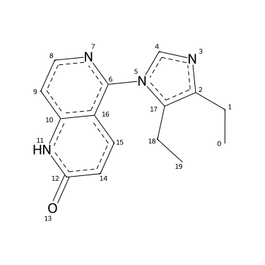 CCc1ncn(-c2nccc3[nH]c(=O)ccc23)c1CC